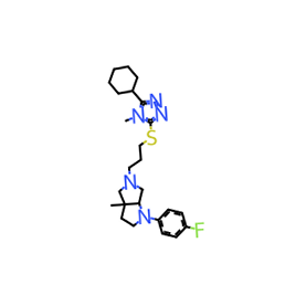 Cn1c(SCCCN2CC3N(c4ccc(F)cc4)CCC3(C)C2)nnc1C1CCCCC1